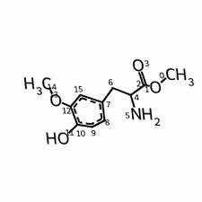 COC(=O)C(N)Cc1ccc(O)c(OC)c1